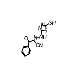 N#C/C(=N\Nc1nnc(S)s1)C(=O)c1ccccc1